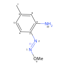 CO/N=N/c1ccc(C)cc1N